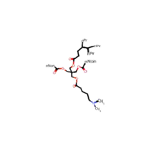 CCCCCCCCCC(=O)OCC(COC(=O)CCCCCCCCC)(COC(=O)CCCCN(C)C)COC(=O)CCC(CCC)C(CCC)CCC